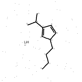 CCCC[C]1C=CC(C(C)C)=C1.[LiH]